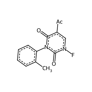 CC(=O)c1cn(F)c(=O)n(-c2ccccc2C)c1=O